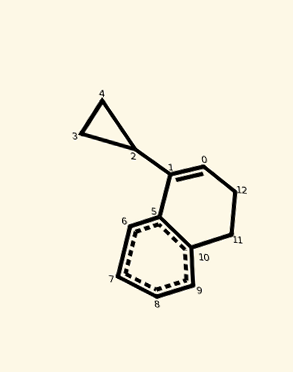 C1=C(C2CC2)c2ccccc2CC1